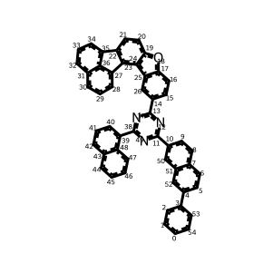 c1ccc(-c2ccc3ccc(-c4nc(-c5ccc6oc7ccc8c(c7c6c5)-c5cccc6cccc-8c56)nc(-c5cccc6ccccc56)n4)cc3c2)cc1